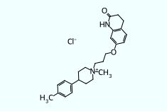 Cc1ccc(C2CC[N+](C)(CCCOc3ccc4c(c3)NC(=O)CC4)CC2)cc1.[Cl-]